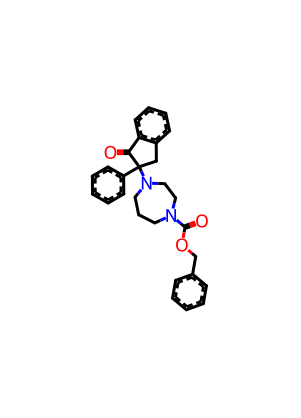 O=C(OCc1ccccc1)N1CCCN(C2(c3ccccc3)Cc3ccccc3C2=O)CC1